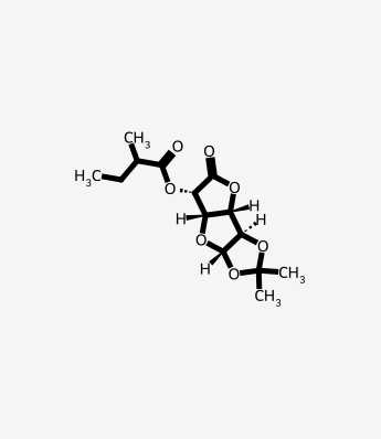 CCC(C)C(=O)O[C@@H]1C(=O)O[C@@H]2[C@H]3OC(C)(C)O[C@@H]3O[C@@H]21